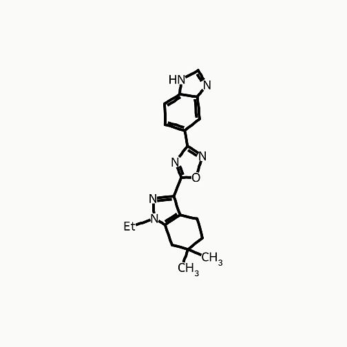 CCn1nc(-c2nc(-c3ccc4[nH]cnc4c3)no2)c2c1CC(C)(C)CC2